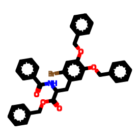 O=C(NC(Cc1cc(OCc2ccccc2)c(OCc2ccccc2)cc1Br)C(=O)OCc1ccccc1)c1ccccc1